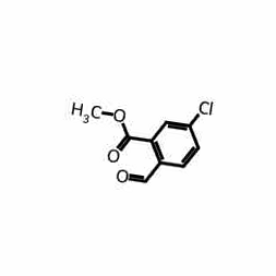 COC(=O)c1cc(Cl)ccc1C=O